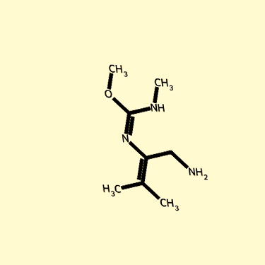 CN/C(=N\C(CN)=C(C)C)OC